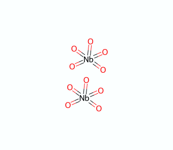 [O]=[Nb](=[O])(=[O])(=[O])=[O].[O]=[Nb](=[O])(=[O])(=[O])=[O]